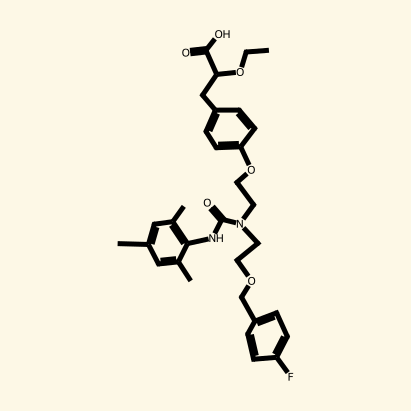 CCOC(Cc1ccc(OCCN(CCOCc2ccc(F)cc2)C(=O)Nc2c(C)cc(C)cc2C)cc1)C(=O)O